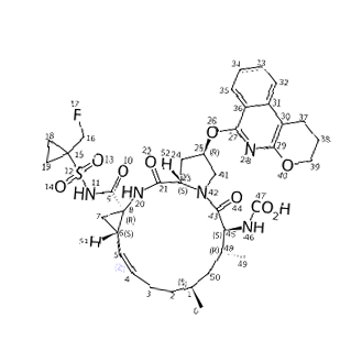 C[C@H]1CC/C=C\[C@@H]2C[C@@]2(C(=O)NS(=O)(=O)C2(CF)CC2)NC(=O)[C@@H]2C[C@@H](Oc3nc4c(c5ccccc35)CCCO4)CN2C(=O)[C@@H](NC(=O)O)[C@H](C)C1